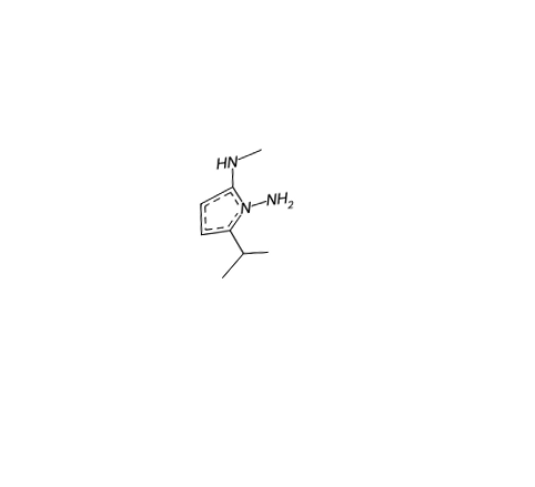 CNc1ccc(C(C)C)n1N